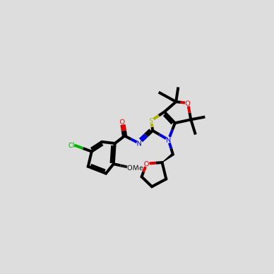 COc1ccc(Cl)cc1C(=O)N=c1sc2c(n1C[C@H]1CCCO1)C(C)(C)OC2(C)C